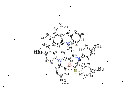 CC(C)(C)c1ccc(N2c3ccc(C(C)(C)C)cc3B3c4sc5ccc(C(C)(C)C)cc5c4N(c4ccc(C(C)(C)C)cc4)c4cc(N(c5ccccc5)c5cc6c(c7c5CCCC7)CCCC6)cc2c43)cc1